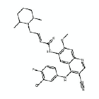 COc1cc2ncc(C#N)c(Nc3ccc(F)c(Cl)c3)c2cc1NC(=O)C=CCN1C(C)CCCC1C